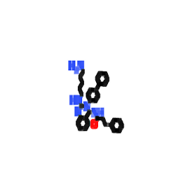 NCCCCCNC1=Nc2ccccc2C(NC(=O)CCc2ccccc2)N1c1ccc(-c2ccccc2)cc1